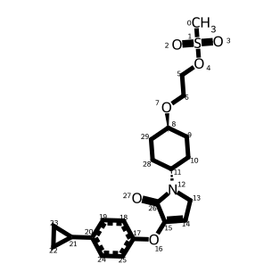 CS(=O)(=O)OCCO[C@H]1CC[C@H](N2CC=C(Oc3ccc(C4CC4)cc3)C2=O)CC1